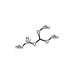 CCCC[SiH2]OC(OC(C)(C)C)OC(C)(C)C